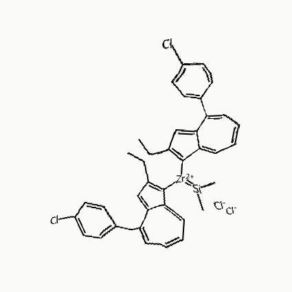 CCc1cc2c(-c3ccc(Cl)cc3)ccccc-2[c]1[Zr+2]([c]1c(CC)cc2c(-c3ccc(Cl)cc3)ccccc1-2)=[Si](C)C.[Cl-].[Cl-]